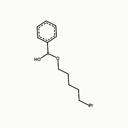 CC(C)CCCCCOB(O)c1ccccc1